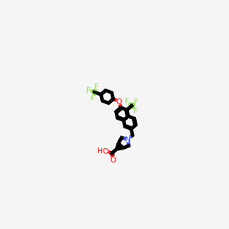 O=C(O)C1C2CN(Cc3ccc4c(C(F)(F)F)c(OC5CCC(C(F)(F)F)CC5)ccc4c3)CC21